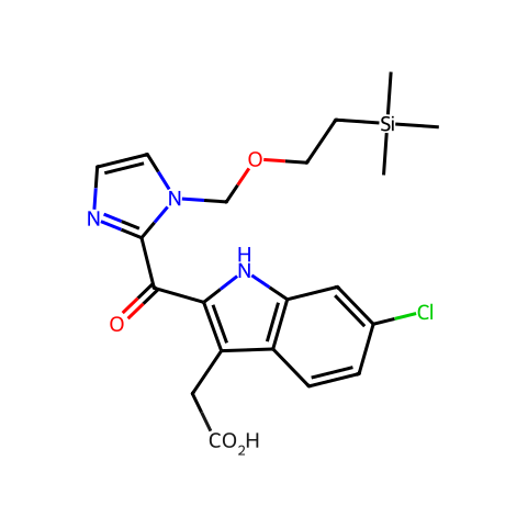 C[Si](C)(C)CCOCn1ccnc1C(=O)c1[nH]c2cc(Cl)ccc2c1CC(=O)O